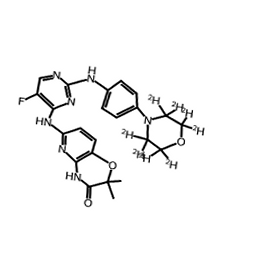 [2H]C1([2H])OC([2H])([2H])C([2H])([2H])N(c2ccc(Nc3ncc(F)c(Nc4ccc5c(n4)NC(=O)C(C)(C)O5)n3)cc2)C1([2H])[2H]